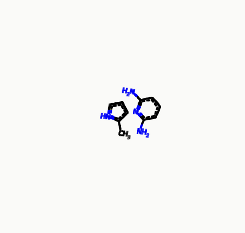 Cc1ccc[nH]1.Nc1cccc(N)n1